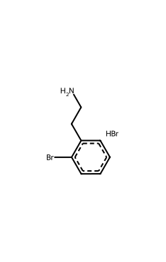 Br.NCCc1ccccc1Br